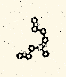 c1ccc(-c2nc(-c3cccc(-c4cccc5c4oc4ccccc45)c3)nc3c2sc2ccc(-c4cccc(-c5cccc6c5oc5ccccc56)c4)cc23)cc1